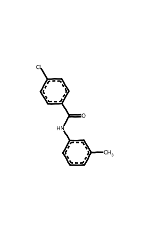 Cc1cccc(NC(=O)c2ccc(Cl)cc2)c1